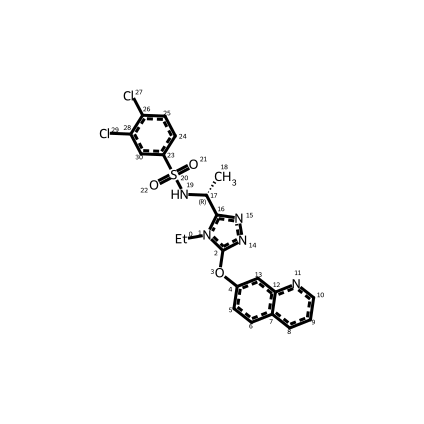 CCn1c(Oc2ccc3cccnc3c2)nnc1[C@@H](C)NS(=O)(=O)c1ccc(Cl)c(Cl)c1